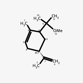 C=C(C)[C@@H]1CC=C(C)C(C(C)(C)OC)C1